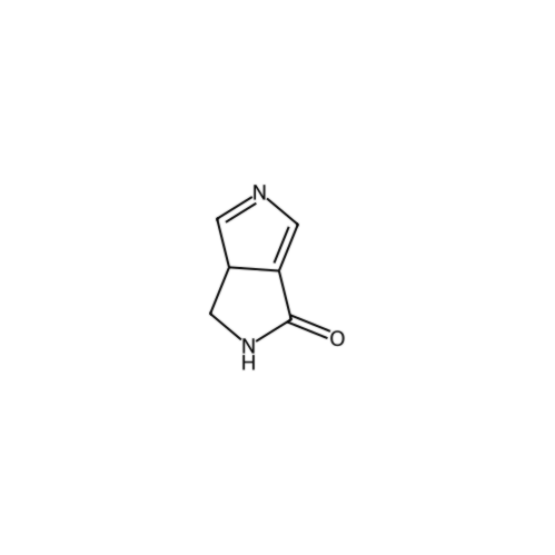 O=C1NCC2C=NC=C12